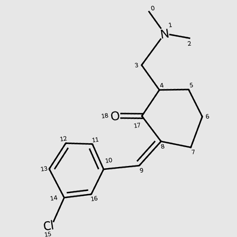 CN(C)CC1CCCC(=Cc2cccc(Cl)c2)C1=O